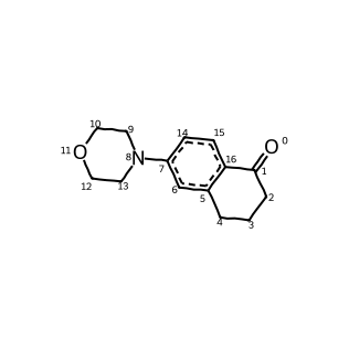 O=C1CCCc2cc(N3CCOCC3)ccc21